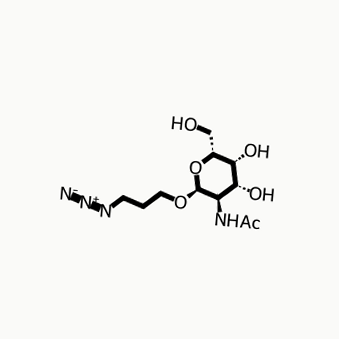 CC(=O)N[C@H]1[C@@H](OCCCN=[N+]=[N-])O[C@H](CO)[C@H](O)[C@@H]1O